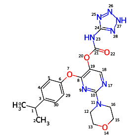 CC(C)c1ccc(Oc2nc(N3CCOCC3)ncc2OC(=O)Nc2nn[nH]n2)cc1